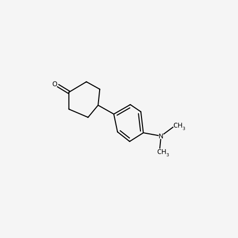 CN(C)c1ccc(C2CCC(=O)CC2)cc1